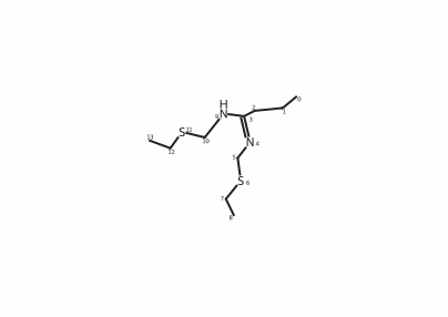 CCCC(=NCSCC)NCSCC